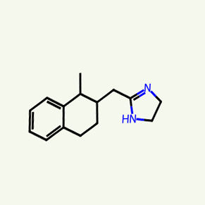 CC1c2ccccc2CCC1CC1=NCCN1